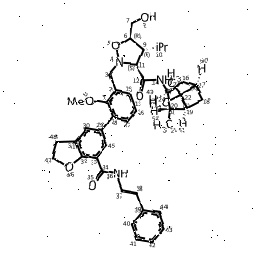 COc1c(CN2O[C@@H](CO)[C@H](C(C)C)[C@H]2C(=O)N[C@H]2C[C@H]3C[C@@H]([C@@H]2C)C3(C)C)cccc1-c1cc2c(c(C(=O)NCCc3ccccc3)c1)OCC2